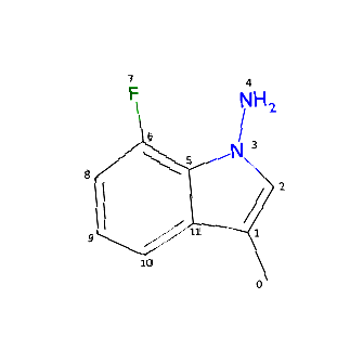 Cc1cn(N)c2c(F)cccc12